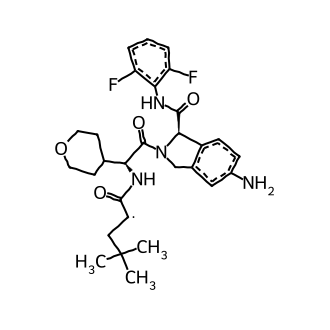 CC(C)(C)C[CH]C(=O)N[C@H](C(=O)N1Cc2cc(N)ccc2[C@@H]1C(=O)Nc1c(F)cccc1F)C1CCOCC1